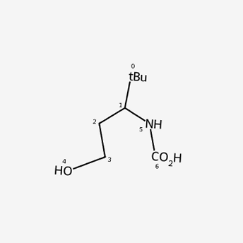 CC(C)(C)C(CCO)NC(=O)O